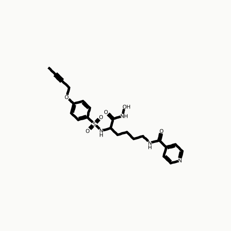 CC#CCOc1ccc(S(=O)(=O)NC(CCCCNC(=O)c2ccncc2)C(=O)NO)cc1